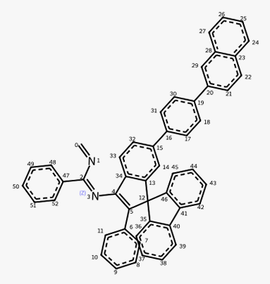 C=N/C(=N\C1=C(c2ccccc2)C2(c3cc(-c4ccc(-c5ccc6ccccc6c5)cc4)ccc31)c1ccccc1-c1ccccc12)c1ccccc1